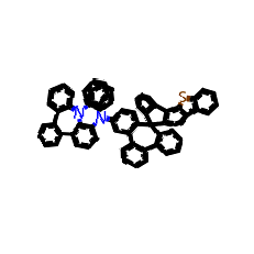 c1ccc(N(c2ccc3c(c2)-c2ccccc2-c2ccccc2C32c3ccccc3-c3c2ccc2c3sc3ccccc32)c2cccc3c2N(c2ccccc2)c2ccccc2-c2ccccc2-3)cc1